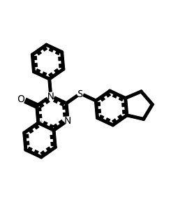 O=c1c2ccccc2nc(Sc2ccc3c(c2)CCC3)n1-c1ccccc1